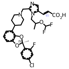 CC(Cn1c(/C=C/C(=O)O)cnc1CN1CCC(c2cccc3c2O[C@@](C)(c2ccc(Cl)cc2F)O3)CC1)OC(F)F